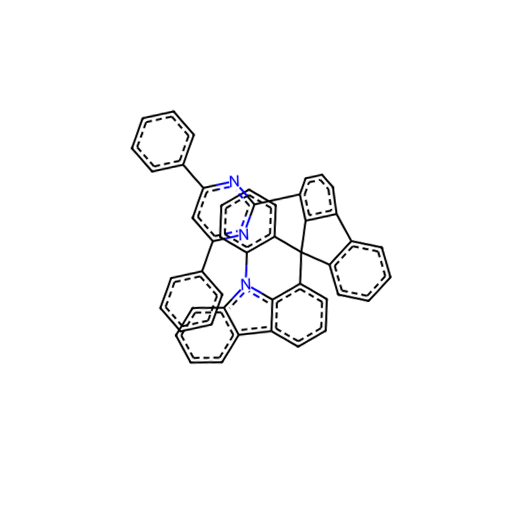 c1ccc(-c2cc(-c3ccccc3)nc(-c3cccc4c3C3(c5ccccc5-4)c4ccccc4-n4c5ccccc5c5cccc3c54)n2)cc1